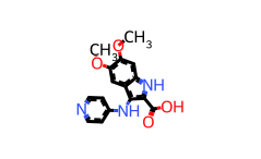 COc1cc2[nH]c(C(=O)O)c(Nc3ccncc3)c2cc1OC